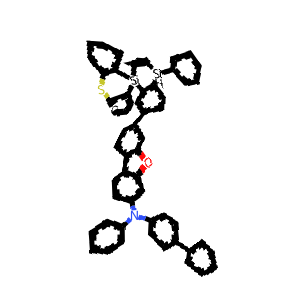 c1ccc(-c2ccc(N(c3ccccc3)c3ccc4c(c3)oc3cc(-c5ccc6c(c5)[Si]5(c7ccccc7Sc7ccccc75)c5ccccc5[SiH]6c5ccccc5)ccc34)cc2)cc1